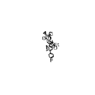 CCS(=O)(=O)c1cc(-c2ccc(F)cc2)c(C)nc1-c1cn2c(=O)n(C3CC3)c(Cl)cc2n1